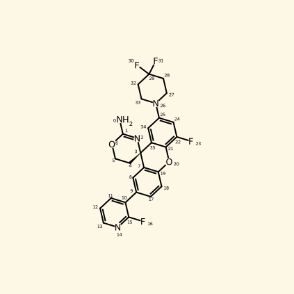 NC1=N[C@@]2(CCO1)c1cc(-c3cccnc3F)ccc1Oc1c(F)cc(N3CCC(F)(F)CC3)cc12